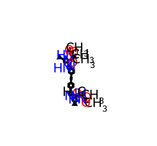 COC(=O)N[C@H](C(=O)N1CC2(CC2)C[C@H]1c1ncc(-c2ccc(C#Cc3ccc4nc([C@@H]5CC(C6CC6)CN5C(=O)[C@@H](NC(=O)OC)C(C)C)[nH]c4c3)cc2)[nH]1)C(C)C